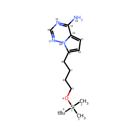 CC(C)(C)[Si](C)(C)OCCCCc1ccc2c(N)ncnn12